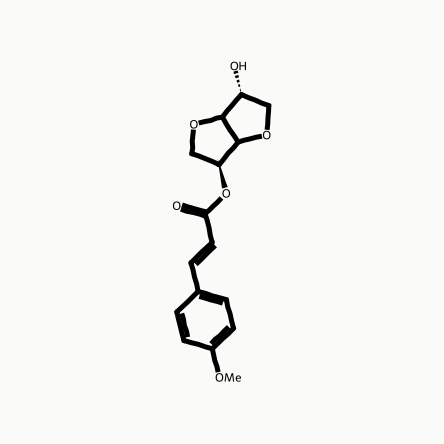 COc1ccc(/C=C/C(=O)O[C@H]2COC3C2OC[C@H]3O)cc1